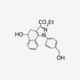 CCOC(=O)c1nn(-c2ccc(CO)cc2)c2c1CC(O)c1ccccc1-2